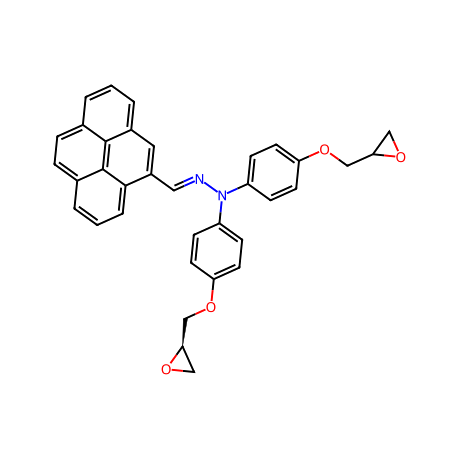 C(=NN(c1ccc(OCC2CO2)cc1)c1ccc(OC[C@H]2CO2)cc1)c1cc2cccc3ccc4cccc1c4c32